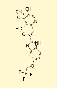 COc1c(C)cnc(C[S+]([O-])c2nc3cc(OCC(F)(F)F)ccc3[nH]2)c1C